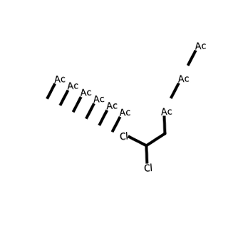 CC(=O)CC(Cl)Cl.CC(C)=O.CC(C)=O.CC(C)=O.CC(C)=O.CC(C)=O.CC(C)=O.CC(C)=O.CC(C)=O